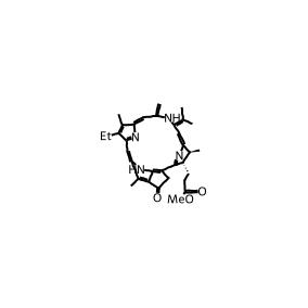 C=c1cc2nc(cc3[nH]c4c(c5nc(cc(=C(C)C)[nH]1)[C@@H](C)[C@@H]5CCC(=O)OC)CC(=O)c4c3C)C(CC)=C2C